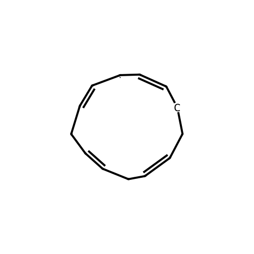 [CH]1C=CCC=CCC=CCCC=C1